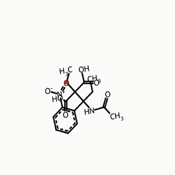 CCC(C(=O)O)(C(=O)O)C(CC)(NC(C)=O)c1ccccc1[N+](=O)[O-]